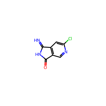 N=C1NC(=O)c2cnc(Cl)cc21